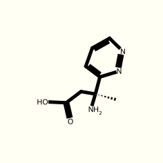 C[C@](N)(CC(=O)O)c1cccnn1